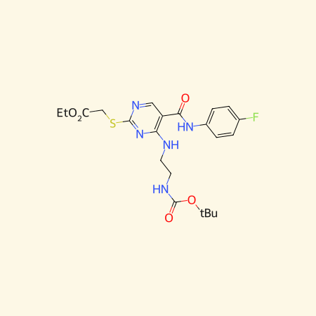 CCOC(=O)CSc1ncc(C(=O)Nc2ccc(F)cc2)c(NCCNC(=O)OC(C)(C)C)n1